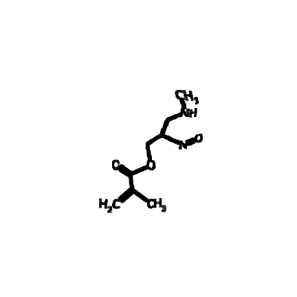 C=C(C)C(=O)OCC(CNC)N=O